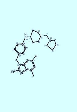 CCc1nc2c(C)cc(C)nc2n1Cc1ccc(N[C@H]2CC[C@@H](CN3CCCC3)CC2)cc1